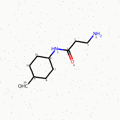 NCCC(=O)NC1CCC(C=O)CC1